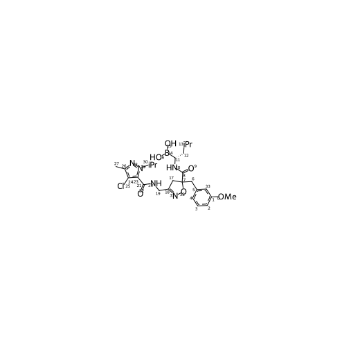 COc1cccc(CC2(C(=O)N[C@@H](CC(C)C)B(O)O)CC(CNC(=O)c3c(Cl)c(C)nn3C(C)C)=NO2)c1